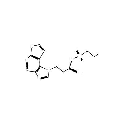 C=C(CCn1cnc2cnc3[nH]ccc3c21)NS(=O)(=O)CCC(F)(F)F